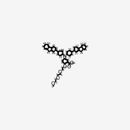 COCCOCCOCCOc1ccc(N(c2ccc(-c3ccc4c(c3)Cc3ccccc3-4)cc2)c2ccc(-c3ccc4c(c3)Cc3ccccc3-4)cc2)cc1C(=O)OC